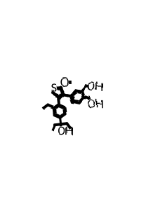 CCc1cc(C(O)(CC)CC)ccc1-c1csc(OC)c1-c1ccc(CO)c(CO)c1